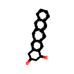 O=C1CC(=O)c2cc3cc4cc5ccccc5cc4cc3cc2C1